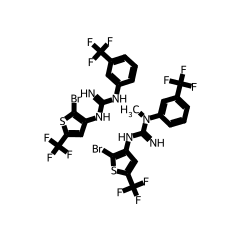 CN(C(=N)Nc1cc(C(F)(F)F)sc1Br)c1cccc(C(F)(F)F)c1.N=C(Nc1cccc(C(F)(F)F)c1)Nc1cc(C(F)(F)F)sc1Br